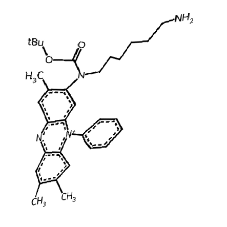 Cc1cc2nc3cc(C)c(N(CCCCCCN)C(=O)OC(C)(C)C)cc3[n+](-c3ccccc3)c2cc1C